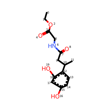 CCOC(=O)CNC(=O)CC(C)c1ccc(O)cc1O